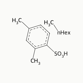 CCCCCCC.Cc1ccc(S(=O)(=O)O)c(C)c1